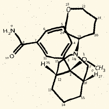 CO[C@]1(c2cccc(C(N)=O)c2)[C@@H]2CCC[C@H]1CN([C@@H]1CCCOC1)C2